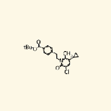 Cc1c(C2CC2)cc(Cl)c(=O)n1CCc1ccc(C(=O)OC(C)(C)C)cc1